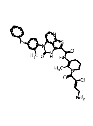 CC1=C(NC(=O)c2sc3nccc4c3c2NC(=O)N4c2ccc(Oc3ccccc3)cc2C)CCCN1C(=O)/C(Cl)=C/CN